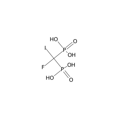 O=P(O)(O)C(F)(I)P(=O)(O)O